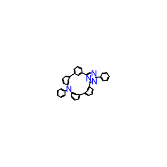 C1=NC(c2ccccc2)=NC2=NC=1c1cccc(c1)-c1cccc(c1)N(c1ccccc1)c1cccc(c1)-c1cccc2c1